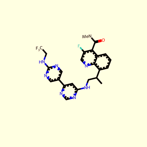 CNC(=O)c1c(F)cnc2c(C(C)CNc3cc(-c4cnc(NCC(F)(F)F)nc4)ncn3)cccc12